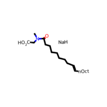 CCCCCCCCC=CCCCCCCCC(=O)N(C)CC(=O)O.[NaH]